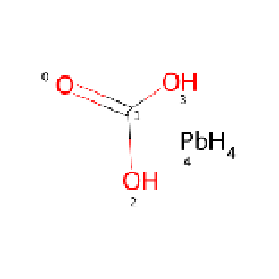 O=C(O)O.[PbH4]